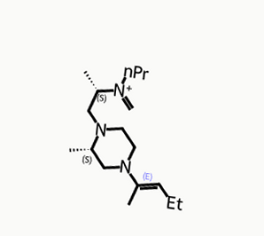 C=[N+](CCC)[C@@H](C)CN1CCN(/C(C)=C/CC)C[C@@H]1C